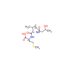 CSCC[C@H](NC(=O)[C@@H](NC(=O)CC(C)O)C(C)C)C(=O)O